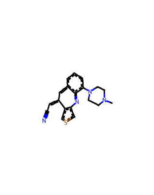 CN1CCN(c2cccc3c2=Nc2cscc2/C(=C\C#N)C=3)CC1